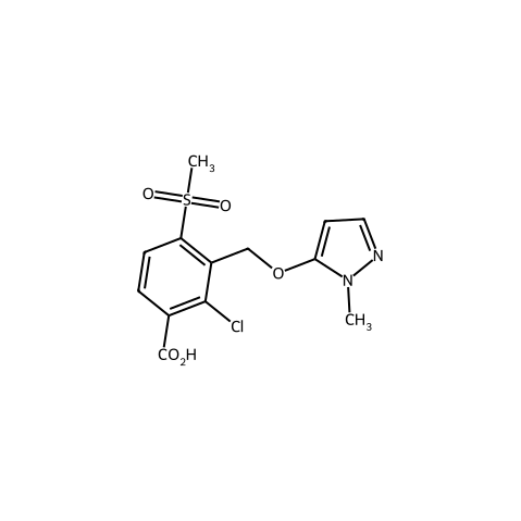 Cn1nccc1OCc1c(S(C)(=O)=O)ccc(C(=O)O)c1Cl